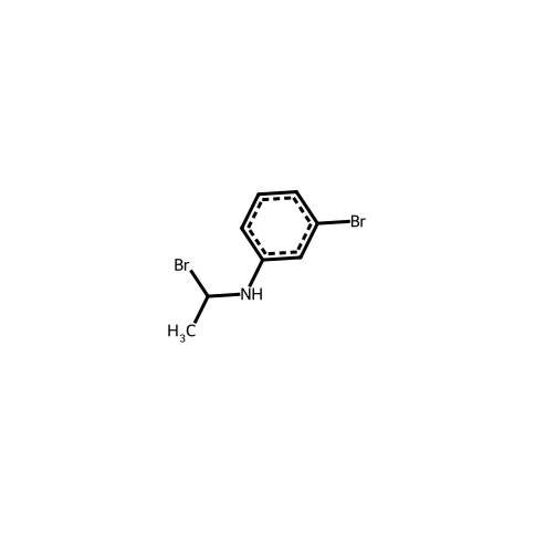 CC(Br)Nc1cccc(Br)c1